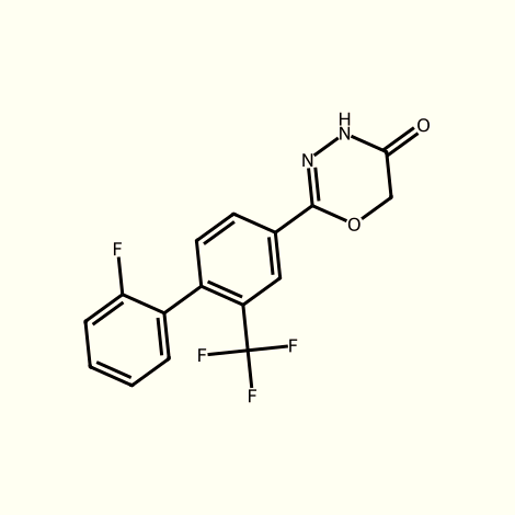 O=C1COC(c2ccc(-c3ccccc3F)c(C(F)(F)F)c2)=NN1